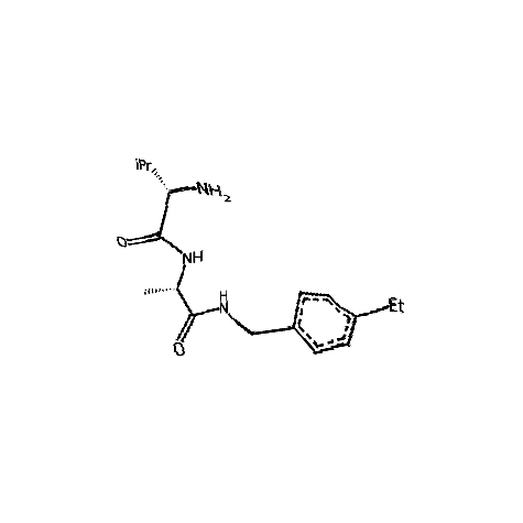 CCc1ccc(CNC(=O)[C@H](C)NC(=O)[C@@H](N)C(C)C)cc1